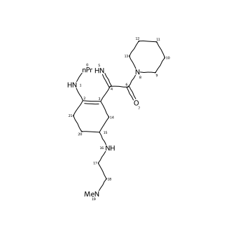 CCCNC1=C(C(=N)C(=O)N2CCCCC2)CC(NCCNC)CC1